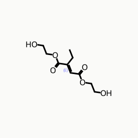 CC/C(=C\C(=O)OCCO)C(=O)OCCO